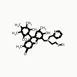 CCSCCN(Cc1ccccn1)Cc1c(O)c(C)cc2c(-c3c(C)c(C)c(C)c(C)c3C(=O)O)c3cc(C)c(=O)cc-3oc12